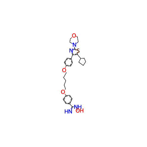 N=C(NO)c1ccc(OCCCCCOc2ccc(-c3nc(N4CCOCC4)sc3C3CCCC3)cc2)cc1